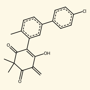 C=C1C(=O)C(C)(C)C(=O)C(c2cc(-c3ccc(Cl)cc3)ccc2C)=C1O